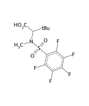 CN(C(C(=O)O)C(C)(C)C)S(=O)(=O)c1c(F)c(F)c(F)c(F)c1F